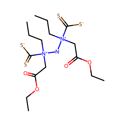 CCC[N+](CC(=O)OCC)([N][N+](CCC)(CC(=O)OCC)C(=S)[S-])C(=S)[S-]